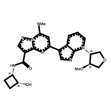 CNc1cc(-c2cnc3n([C@@H]4COC[C@H]4OC)cccc2-3)nc2c(C(=O)N[C@H]3CC[C@H]3O)cnn12